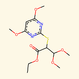 CCOC(=O)C(Sc1nc(OC)cc(OC)n1)C(OC)OC